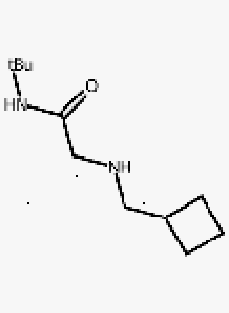 CC(C)(C)NC(=O)CNCC1CCC1